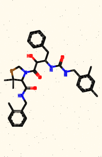 Cc1ccc(CNC(=O)NC(Cc2ccccc2)C(O)C(=O)N2CSC(C)(C)C2C(=O)NCc2ccccc2C)c(C)c1